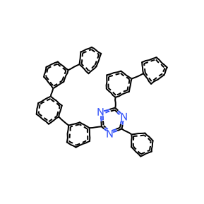 c1ccc(-c2cccc(-c3cccc(-c4cccc(-c5nc(-c6ccccc6)nc(-c6cccc(-c7ccccc7)c6)n5)c4)c3)c2)cc1